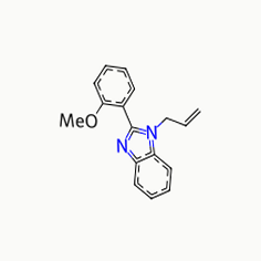 C=CCn1c(-c2ccccc2OC)nc2ccccc21